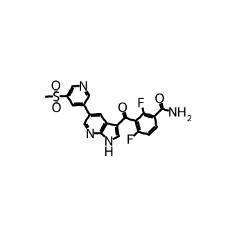 CS(=O)(=O)c1cncc(-c2cnc3[nH]cc(C(=O)c4c(F)ccc(C(N)=O)c4F)c3c2)c1